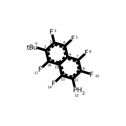 CC(C)(C)c1c(F)c(F)c2c(F)c(F)c(P)c(F)c2c1F